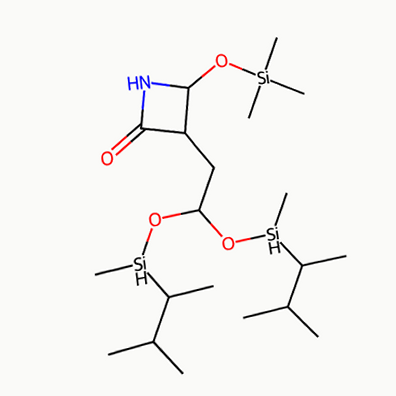 CC(C)C(C)[SiH](C)OC(CC1C(=O)NC1O[Si](C)(C)C)O[SiH](C)C(C)C(C)C